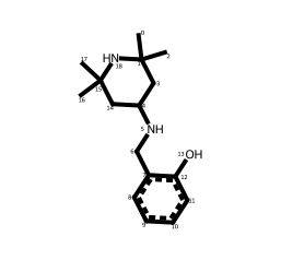 CC1(C)CC(NCc2ccccc2O)CC(C)(C)N1